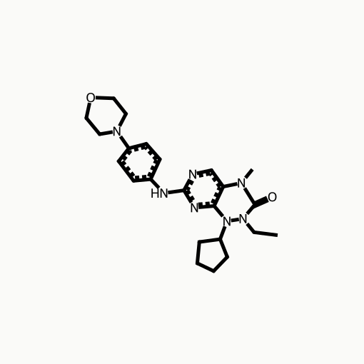 CCN1C(=O)N(C)c2cnc(Nc3ccc(N4CCOCC4)cc3)nc2N1C1CCCC1